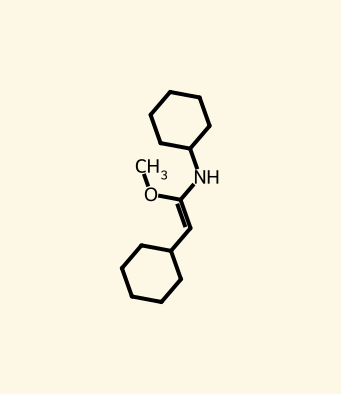 CO/C(=C\C1CCCCC1)NC1CCCCC1